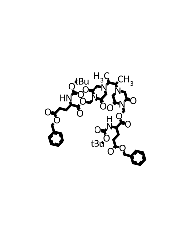 CC(C(C)N1CC(=O)N(COC(=O)C(CCC(=O)OCc2ccccc2)NC(=O)OC(C)(C)C)C(=O)C1)N1CC(=O)N(COC(=O)C(CCC(=O)OCc2ccccc2)NC(=O)OC(C)(C)C)C(=O)C1